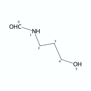 O=CNCCCO